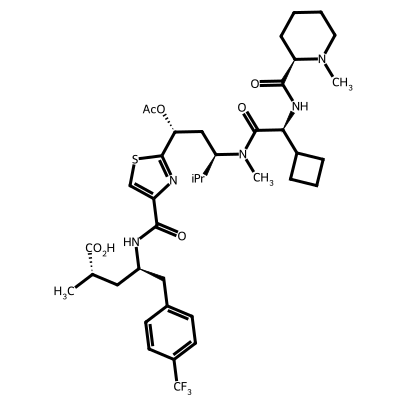 CC(=O)O[C@H](C[C@H](C(C)C)N(C)C(=O)[C@@H](NC(=O)[C@H]1CCCCN1C)C1CCC1)c1nc(C(=O)N[C@@H](Cc2ccc(C(F)(F)F)cc2)C[C@H](C)C(=O)O)cs1